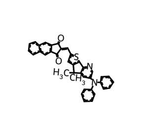 CC1(C)c2cc(N(c3ccccc3)c3ccccc3)cnc2-c2sc(C=C3C(=O)c4cc5ccccc5cc4C3=O)cc21